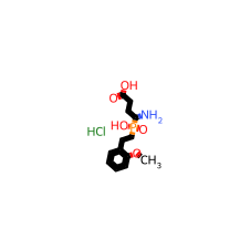 COc1ccccc1CCP(=O)(O)C(N)CCC(=O)O.Cl